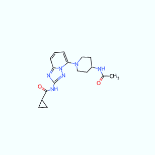 CC(=O)NC1CCN(c2cccc3nc(NC(=O)C4CC4)nn23)CC1